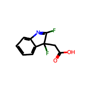 O=C(O)CC1(F)C(F)=Nc2ccccc21